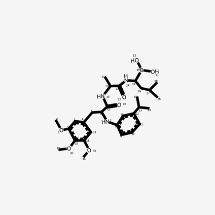 COc1cc(CC(Nc2cccc(C(C)C)c2)C(=O)NC(C)C(=O)NC(CC(C)C)B(O)O)cc(OC)c1OC